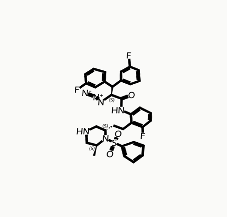 C[C@H]1CNC[C@H](CCc2c(F)cccc2NC(=O)[C@@H](N=[N+]=[N-])C(c2cccc(F)c2)c2cccc(F)c2)N1S(=O)(=O)c1ccccc1